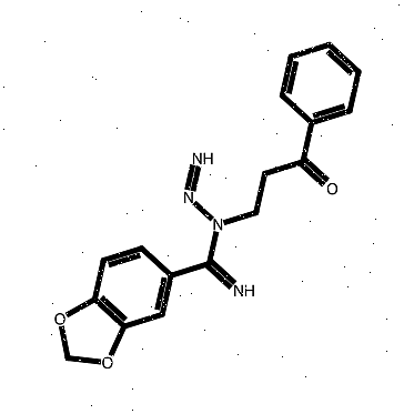 N=NN(CCC(=O)c1ccccc1)C(=N)c1ccc2c(c1)OCO2